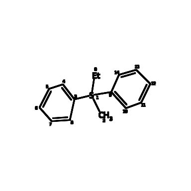 CCS(C)(c1ccccc1)c1ccccc1